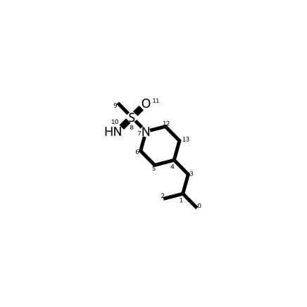 CC(C)CC1CCN(S(C)(=N)=O)CC1